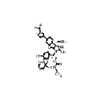 CC(C)(C)C[C@]1(c2ccc(-c3cnn(C(F)F)c3)cc2)NC(=N)N([C@H](COC(=O)NCC(F)(F)F)c2ccc(Cl)c(N3N=CN=CC3(F)F)c2)C1=O